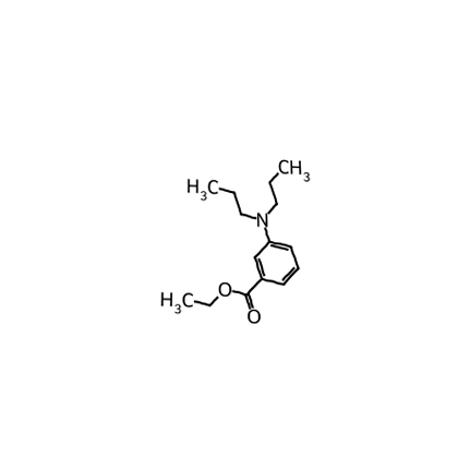 CCCN(CCC)c1cccc(C(=O)OCC)c1